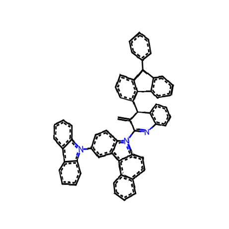 C=C1C(n2c3ccc(-n4c5ccccc5c5ccccc54)cc3c3c4ccccc4ccc32)=Nc2ccccc2C1c1cccc2c1-c1ccccc1C2c1ccccc1